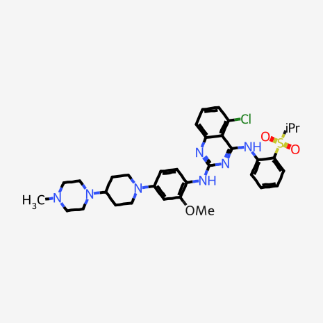 COc1cc(N2CCC(N3CCN(C)CC3)CC2)ccc1Nc1nc(Nc2ccccc2S(=O)(=O)C(C)C)c2c(Cl)cccc2n1